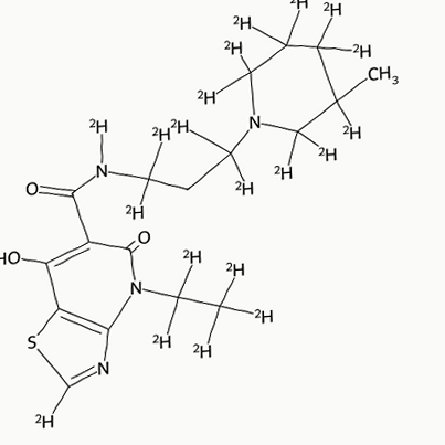 [2H]c1nc2c(s1)c(O)c(C(=O)N([2H])C([2H])([2H])CC([2H])([2H])N1C([2H])([2H])C([2H])([2H])C([2H])([2H])C([2H])(C)C1([2H])[2H])c(=O)n2C([2H])([2H])C([2H])([2H])[2H]